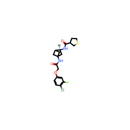 O=C(COc1ccc(Cl)c(F)c1)NC12CC(C1)[C@@H](NC(=O)C1CCSC1)C2